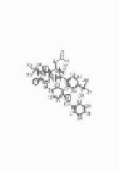 CC(C)CC(C(=O)N[C@@H](Cc1ccc(OCc2ccccc2)cc1)C(=O)NC(C)(C)C)N(C)Cc1ccc(C(C)(C)C)cc1